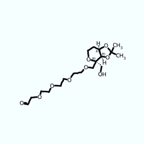 CC1(C)O[C@@H]2[C@@H](CCO[C@]2(CO)COCCOCCOCCOCC=O)O1